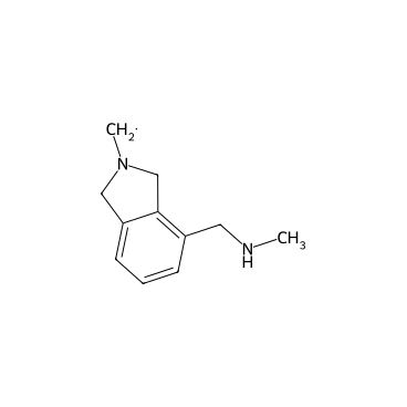 [CH2]N1Cc2cccc(CNC)c2C1